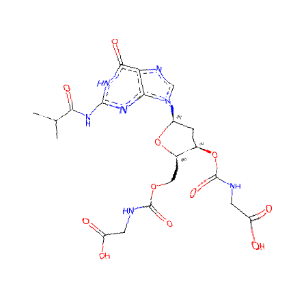 CC(C)C(=O)Nc1nc2c(ncn2[C@H]2C[C@@H](OC(=O)NCC(=O)O)[C@@H](COC(=O)NCC(=O)O)O2)c(=O)[nH]1